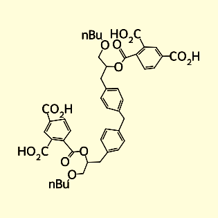 CCCCOCC(Cc1ccc(Cc2ccc(CC(COCCCC)OC(=O)c3ccc(C(=O)O)cc3C(=O)O)cc2)cc1)OC(=O)c1ccc(C(=O)O)cc1C(=O)O